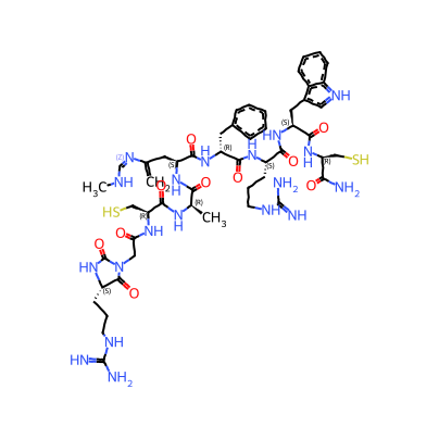 C=C(C[C@H](NC(=O)[C@@H](C)NC(=O)[C@H](CS)NC(=O)CN1C(=O)N[C@@H](CCCNC(=N)N)C1=O)C(=O)N[C@H](Cc1ccccc1)C(=O)N[C@@H](CCCNC(=N)N)C(=O)N[C@@H](Cc1c[nH]c2ccccc12)C(=O)N[C@@H](CS)C(N)=O)/N=C\NC